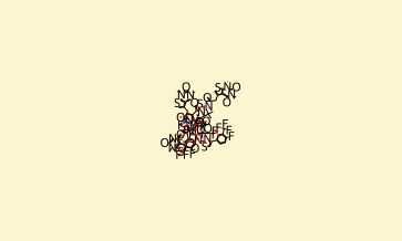 Cn1c(=O)c2c(CC(=O)/N=c3\scc(-c4ccc(F)c(C(F)(F)F)c4F)n3C(OP(=O)(OC(n3c(-c4ccc(F)c(C(F)(F)F)c4F)cs/c3=N\C(=O)Cc3csc4c3c(=O)n(C)c(=O)n4C)(C(C)(C)C)C(C)(C)C)OC(n3c(-c4ccc(F)c(C(F)(F)F)c4F)cs/c3=N\C(=O)Cc3csc4c3c(=O)n(C)c(=O)n4C)(C(C)(C)C)C(C)(C)C)(C(C)(C)C)C(C)(C)C)csc2n(C)c1=O